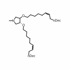 CCCCCCCCCCC/C=C\CCCCCOC1CN(C)C[C@H]1OCCCCC/C=C\CCCCCCCCCCC